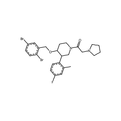 Cc1cc(F)ccc1C1CN(C(=O)CN2CCCC2)CCC1OCc1cc(Br)ccc1Br